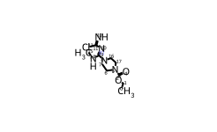 CCOC(=O)N1CCN(/C(=N/C(=N)Cl)NC)CC1